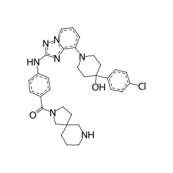 O=C(c1ccc(Nc2nc3c(N4CCC(O)(c5ccc(Cl)cc5)CC4)cccn3n2)cc1)N1CCC2(CCCNC2)C1